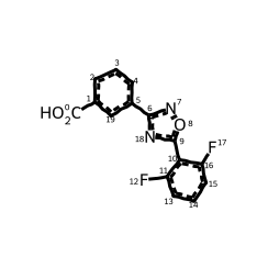 O=C(O)c1cccc(-c2noc(-c3c(F)cccc3F)n2)c1